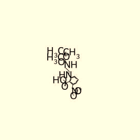 CC(C)(C)OC(=O)NCCNc1cccc(C[N+](=O)[O-])c1C(=O)O